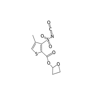 Cc1csc(C(=O)OC2CCO2)c1S(=O)(=O)N=C=O